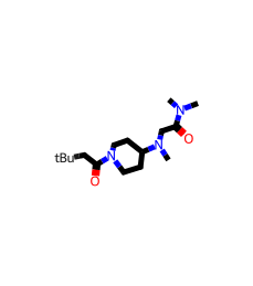 CN(C)C(=O)CN(C)C1CCN(C(=O)CC(C)(C)C)CC1